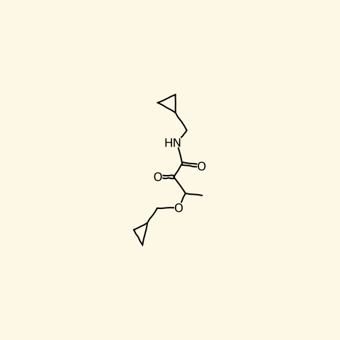 CC(OCC1CC1)C(=O)C(=O)NCC1CC1